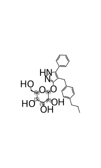 CCCc1ccc(Cc2c(O[C@@H]3O[C@H](CO)[C@@H](O)[C@H](O)[C@H]3O)n[nH]c2-c2ccccc2)cc1